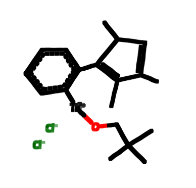 CC1=CC(C)C(c2cccc[c]2[Ti+2][O]CC(C)(C)C)=C1C.[Cl-].[Cl-]